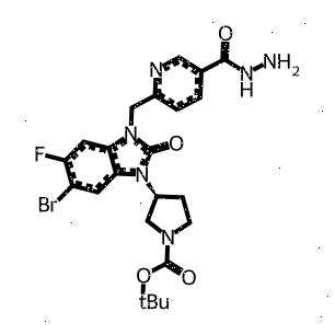 CC(C)(C)OC(=O)N1CC[C@H](n2c(=O)n(Cc3ccc(C(=O)NN)cn3)c3cc(F)c(Br)cc32)C1